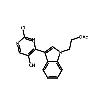 CC(=O)OCCn1cc(-c2nc(Cl)ncc2C#N)c2ccccc21